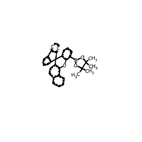 CC1(C)OB(c2cccc3c2Oc2c(ccc4ccccc24)C32c3ccccc3-c3ccccc32)OC1(C)C